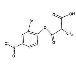 CC(C(=O)O)C(=O)Oc1ccc([N+](=O)[O-])cc1Br